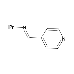 CC(C)/N=C/c1ccncc1